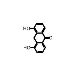 O=C1c2cccc(O)c2Cc2c(O)cccc21